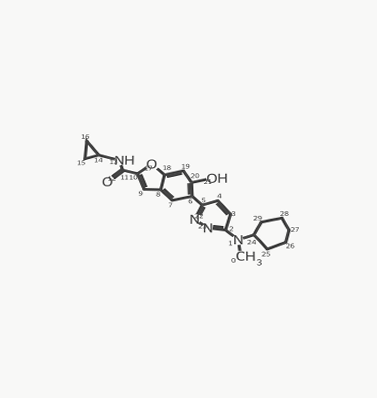 CN(c1ccc(-c2cc3cc(C(=O)NC4CC4)oc3cc2O)nn1)C1CCCCC1